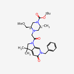 COC[C@H]1CN(C(=O)OC(C)(C)C)[C@H](C)CN1CC(=O)N1CC(C)(C)c2cc(=O)n(Cc3ccccc3)cc21